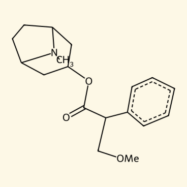 COCC(C(=O)OC1CC2CCC(C1)N2C)c1ccccc1